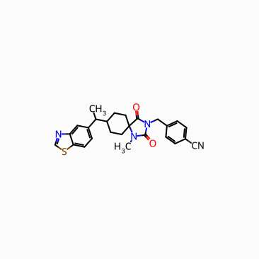 CC(c1ccc2scnc2c1)C1CCC2(CC1)C(=O)N(Cc1ccc(C#N)cc1)C(=O)N2C